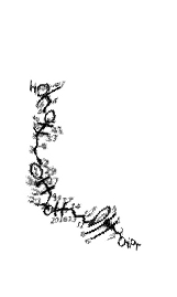 CC(C)OCCC(C)(C)C(C)(C)OCCCCC(C)(C)C(C)(C)OC(C)CC(C)(C)C(C)(C)OCCCCC(C)(C)C(C)(C)OCCC(C)(C)O